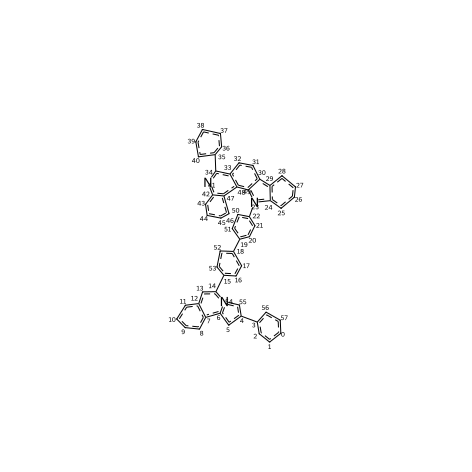 c1ccc(-c2cc3c4ccccc4cc(-c4ccc(-c5ccc(-n6c7ccccc7c7ccc8c(-c9ccccc9)nc9ccccc9c8c76)cc5)cc4)n3c2)cc1